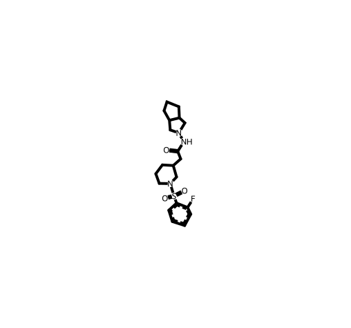 O=C(CC1CCCN(S(=O)(=O)c2ccccc2F)C1)NN1CC2CCCC2C1